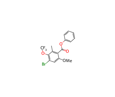 COc1cc(Br)c(OC(F)(F)F)c(C)c1C(=O)Oc1ccccc1